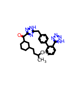 CC(C)CCC1CCCC(C(=O)c2n[nH]c(Cc3ccc(-c4ccccc4-c4nnn[nH]4)cc3)n2)C1